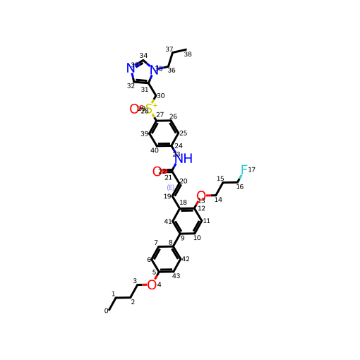 CCCCOc1ccc(-c2ccc(OCCCF)c(/C=C/C(=O)Nc3ccc([S+]([O-])Cc4cncn4CCC)cc3)c2)cc1